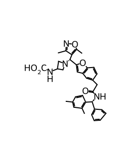 Cc1ccc([C@@H](NC(=O)Cc2ccc3oc([C@@H](c4c(C)noc4C)N4CC(NC(=O)O)C4)cc3c2)c2ccccc2)c(C)c1